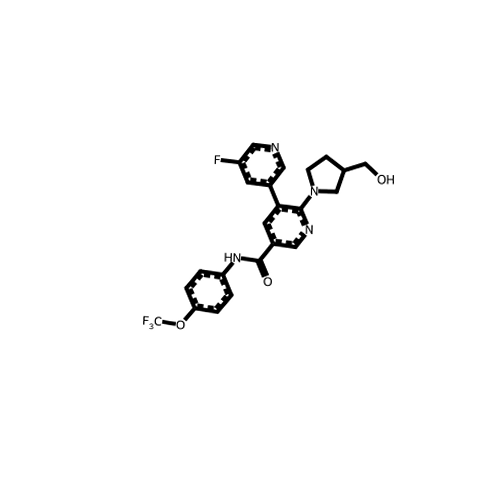 O=C(Nc1ccc(OC(F)(F)F)cc1)c1cnc(N2CCC(CO)C2)c(-c2cncc(F)c2)c1